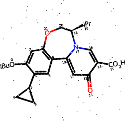 CC(C)COc1cc2c(cc1C1CC1)-c1cc(=O)c(C(=O)O)cn1[C@H](C(C)C)CO2